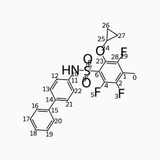 Cc1c(F)c(F)c(S(=O)(=O)Nc2ccc(-c3ccccc3)cc2)c(OC2CC2)c1F